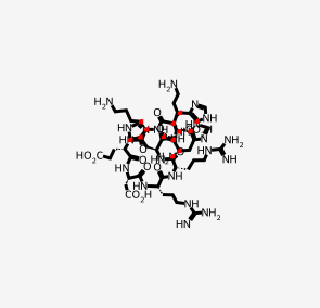 N=C(N)NCCC[C@H](NC(=O)[C@H](CCCNC(=N)N)NC(=O)[C@H](CC(=O)O)NC(=O)[C@H](CCC(=O)O)NC(=O)[C@H](CCCCN)NC(=O)[C@H](Cc1c[nH]cn1)NC(=O)[C@@H](N)Cc1c[nH]cn1)C(=O)N[C@@H](Cc1c[nH]cn1)C(=O)N[C@@H](CCCCN)C(=O)O